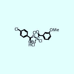 COc1cccc(C(=O)[N+](Cl)(N(Cl)C(=O)c2ccc(Cl)cc2)C(C)(C)C)c1.Cl